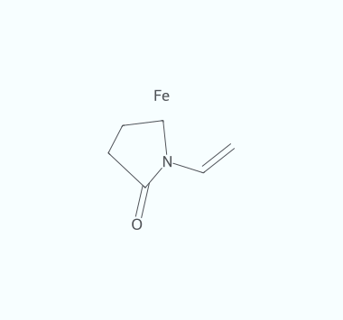 C=CN1CCCC1=O.[Fe]